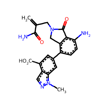 C=C(CN1Cc2c(-c3cc(C(=O)O)c4cnn(C)c4c3)ccc(N)c2C1=O)C(N)=O